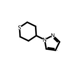 [c]1cnn(C2CCSCC2)c1